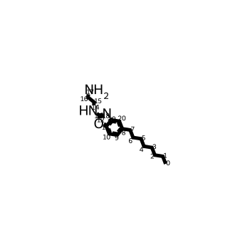 CCCCCCCCc1ccc2oc(NCCN)nc2c1